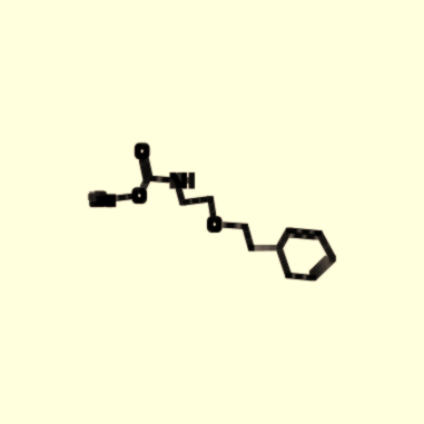 CC(C)(C)OC(=O)NCCOCCC1C=CC=CC1